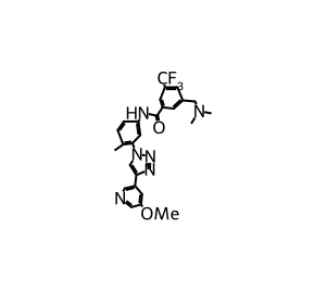 COc1cncc(-c2cn(-c3cc(NC(=O)c4cc(CN(C)C)cc(C(F)(F)F)c4)ccc3C)nn2)c1